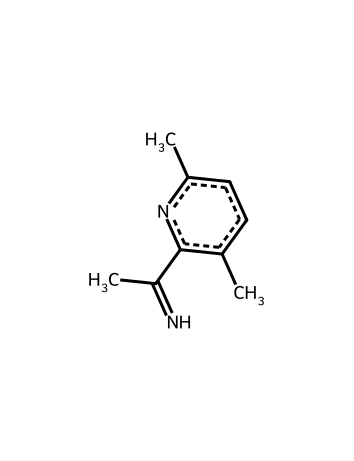 CC(=N)c1nc(C)ccc1C